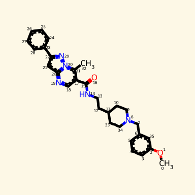 COc1cccc(CN2CCC(CCNC(=O)c3cnc4cc(-c5ccccc5)nn4c3C)CC2)c1